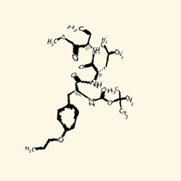 C=CCOc1ccc(C[C@H](NC(=O)OC(C)(C)C)C(=O)N[C@@H](CC(C)C)C(=O)N[C@@H](C=C)C(=O)OC)cc1